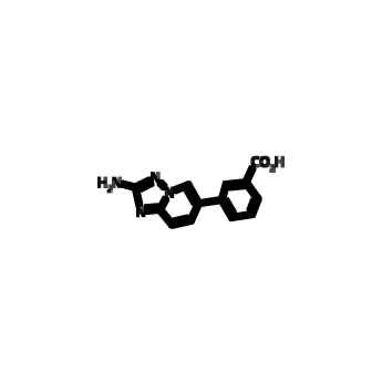 Nc1nc2ccc(-c3cccc(C(=O)O)c3)cn2n1